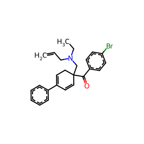 C=CCN(CC)CC1(C(=O)c2ccc(Br)cc2)C=CC(c2ccccc2)=CC1